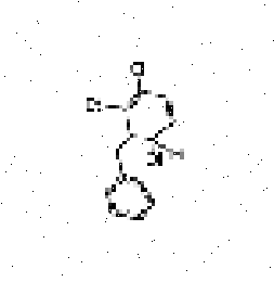 CCC1=C(Cl)C=CC(O)(CC)C1Cc1ccccc1